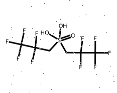 O=S(O)(O)(CC(F)(F)C(F)(F)F)CC(F)(F)C(F)(F)F